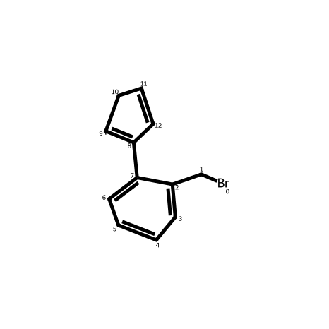 BrCc1ccccc1C1=[C]CC=C1